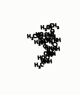 CCC(=O)N[C@H]1C[C@@H](n2cnc3c(N[C@H]4CC[C@H](Nc5nc(N6CC[C@@H](N(C)C)C6)nc6c5ncn6[C@@H]5C[C@H](NC(=O)CC)[C@@H](O)[C@H]5O)CC4)nc(N4CC[C@@H](N(C)C)C4)nc32)[C@H](O)[C@@H]1O